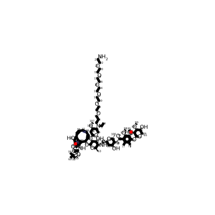 CCN(CCCOCCOCCOCCOCCOCCOCCN)[C@H]1CO[C@@H](O[C@H]2[C@H](O[C@H]3C#C/C=C\C#C[C@]4(O)CC(=O)C(NC(=O)OC)=C3/C4=C\CSSC(C)(C)C)O[C@H](C)[C@@H](NO[C@H]3C[C@H](O)[C@H](SC(=O)c4c(C)c(I)c(O[C@@H]5O[C@@H](C)[C@H](O)[C@@H](OC)[C@H]5O)c(OC)c4OC)[C@@H](C)O3)[C@@H]2O)C[C@@H]1OC